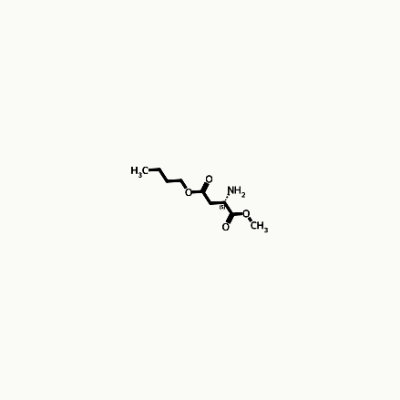 CCCCOC(=O)C[C@H](N)C(=O)OC